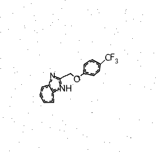 FC(F)(F)c1ccc(OCc2nc3ccccc3[nH]2)cc1